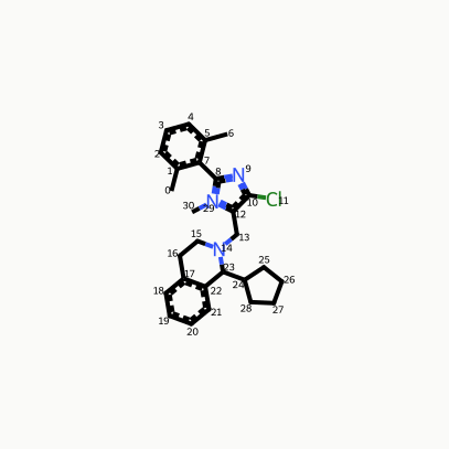 Cc1cccc(C)c1-c1nc(Cl)c(CN2CCc3ccccc3C2C2CCCC2)n1C